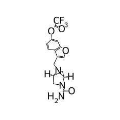 NC(=O)N1C[C@H]2C[C@@H]1CN2Cc1coc2cc(OC(=O)C(F)(F)F)ccc12